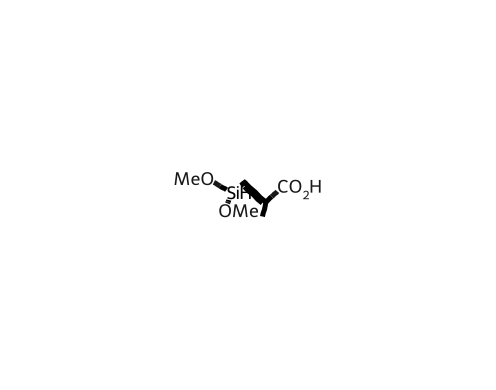 CO[SiH](C=C(C)C(=O)O)OC